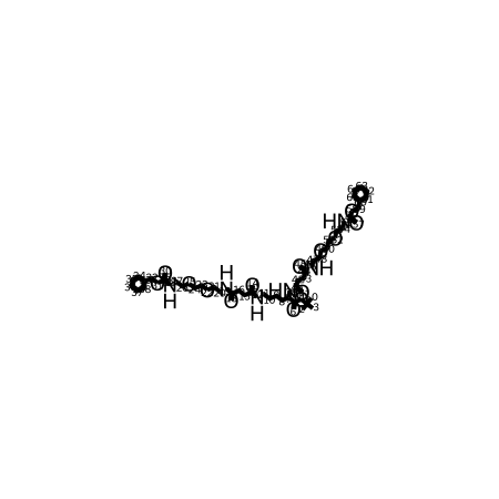 CC(C)(C)OC(=O)C(CCCCNC(=O)CCC(=O)NCCOCCOCCNC(=O)OCc1ccccc1)NC(=O)CCC(=O)NCCOCCOCCNC(=O)OCc1ccccc1